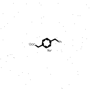 CC(C)Cc1ccc(CC(=O)[O-])cc1.[Na+]